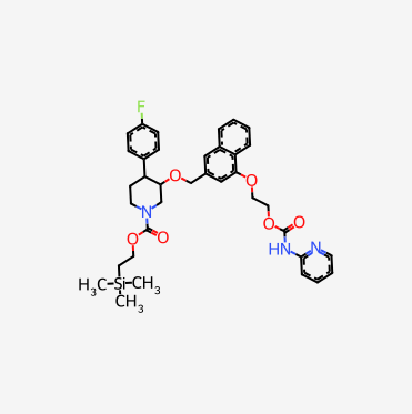 C[Si](C)(C)CCOC(=O)N1CCC(c2ccc(F)cc2)C(OCc2cc(OCCOC(=O)Nc3ccccn3)c3ccccc3c2)C1